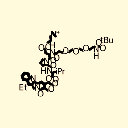 CCc1c2c(nc3ccccc13)-c1cc3c(c(=O)n1C2)COC(=O)C3OC(=O)C(NC(=O)C1CCCN1C(=O)C(CC(=O)OCCC[N+](C)(C)C)NC(=O)CCOCCOCCOCCNC(=O)OC(C)(C)C)C(C)C